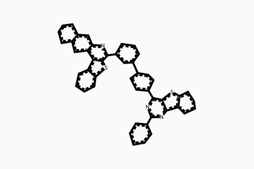 c1ccc(-c2nc(-c3ccc(-c4cccc(-c5nc6cc7ccccc7cc6c6c5sc5ccccc56)c4)cc3)c3sc4ccccc4c3n2)cc1